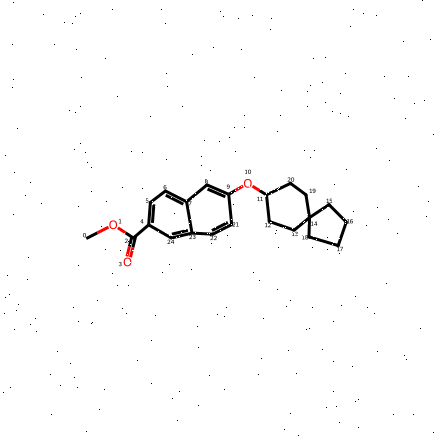 COC(=O)c1ccc2cc(OC3CCC4(CCCC4)CC3)ccc2c1